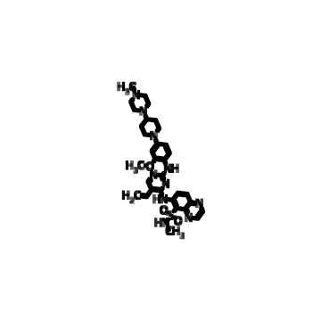 C=Cc1cnc(Nc2ccc(N3CCC(N4CCN(C)CC4)CC3)cc2OC)nc1Nc1ccc2nccnc2c1S(=O)(=O)NC